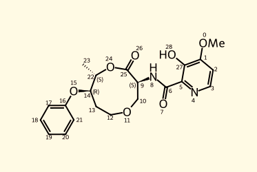 COc1ccnc(C(=O)N[C@H]2COCC[C@@H](Oc3ccccc3)[C@H](C)OC2=O)c1O